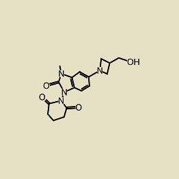 Cn1c(=O)n(N2C(=O)CCCC2=O)c2ccc(N3CC(CO)C3)cc21